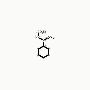 CCOC(=O)NN(OC)C1CCCCC1